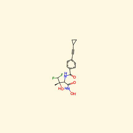 C[C@@](O)(C(F)F)C(NC(=O)c1ccc(C#CC2CC2)cc1)C(=O)NO